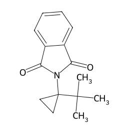 CC(C)(C)C1(N2C(=O)c3ccccc3C2=O)CC1